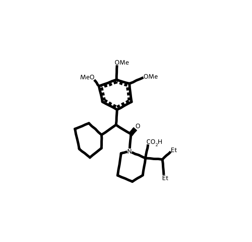 CCC(CC)C1(C(=O)O)CCCCN1C(=O)C(c1cc(OC)c(OC)c(OC)c1)C1CCCCC1